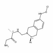 CC(=O)[C@@H]1Cc2ccc(NOCl)cc2CN1CN[C@@H](C)C(=O)CN